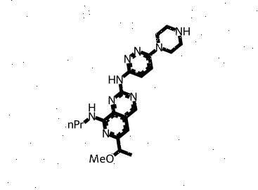 CCCNc1nc(C(C)OC)cc2cnc(Nc3ccc(N4CCNCC4)nn3)nc12